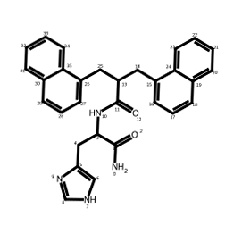 NC(=O)C(Cc1c[nH]cn1)NC(=O)C(Cc1cccc2ccccc12)Cc1cccc2ccccc12